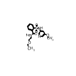 CCOCCNC(=O)c1ccccc1S(=O)(=O)Nc1cncc(OC)c1